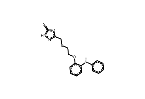 S=c1[nH]nc(CSCCOc2ccccc2Nc2ccccc2)o1